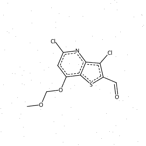 COCOc1cc(Cl)nc2c(Cl)c(C=O)sc12